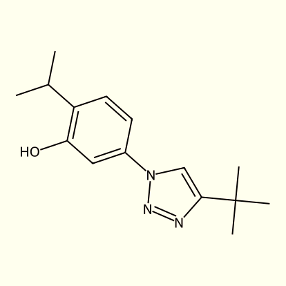 CC(C)c1ccc(-n2cc(C(C)(C)C)nn2)cc1O